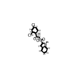 Cn1c(S(=O)(=O)NC(=O)c2ccc(Cl)cc2Cl)cc2ccccc21